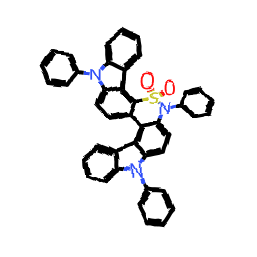 O=S1(=O)c2c(ccc3c2c2ccccc2n3-c2ccccc2)-c2c(ccc3c2c2ccccc2n3-c2ccccc2)N1c1ccccc1